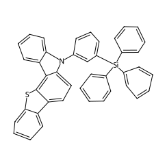 c1ccc([Si](c2ccccc2)(c2ccccc2)c2cccc(-n3c4ccccc4c4c5sc6ccccc6c5ccc43)c2)cc1